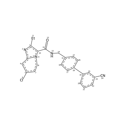 CCc1nc2cc(Cl)ccn2c1C(=O)NCc1ccc(-c2cccc(C#N)c2)cc1